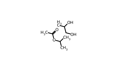 CC(=O)OC(C)C.CC(O)CO